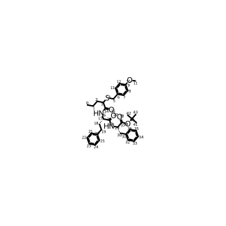 CCCC(SCc1ccc(OC)cc1)C(=O)N[C@@H](CCc1ccccc1)C(=O)N[C@@H](Cc1ccccc1)C(=O)OC(C)(C)C